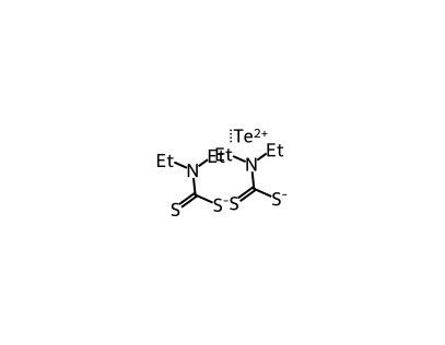 CCN(CC)C(=S)[S-].CCN(CC)C(=S)[S-].[Te+2]